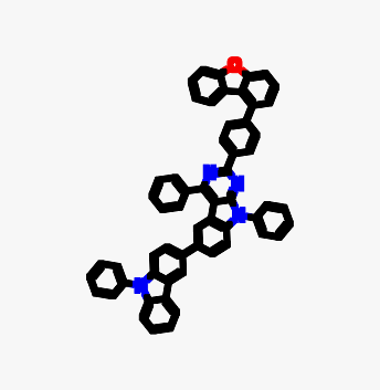 c1ccc(-c2nc(-c3ccc(-c4cccc5oc6ccccc6c45)cc3)nc3c2c2cc(-c4ccc5c(c4)c4ccccc4n5-c4ccccc4)ccc2n3-c2ccccc2)cc1